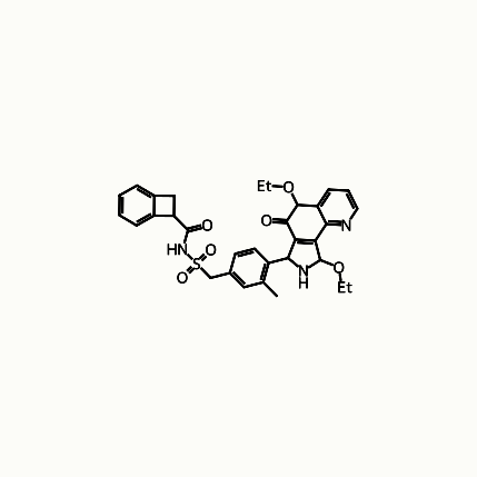 CCOC1NC(c2ccc(CS(=O)(=O)NC(=O)C3Cc4ccccc43)cc2C)C2=C1c1ncccc1C(OCC)C2=O